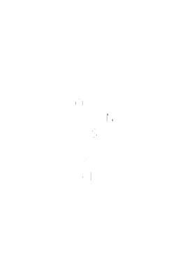 O=CC(Sc1ccccn1)C1(c2ccc(Cl)cc2)CCC1